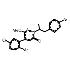 COc1nn(C(C)Cc2ccc(Br)cc2)c(=O)cc1-c1cc(Cl)ccc1C(C)=O